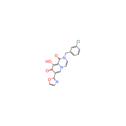 O=c1c(-c2ncco2)cn2ccn(Cc3cccc(Cl)c3)c(=O)c2c1O